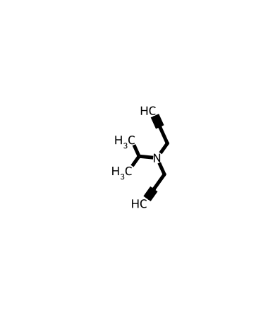 C#CCN(CC#C)C(C)C